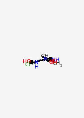 CCCN(CCCCCCNCCc1ccc(O)c(Cl)c1)[C@H]1CCc2c(ccc(NS(C)(=O)=O)c2O)C1